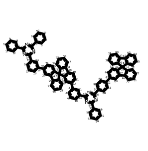 c1ccc(-c2nc(-c3ccccc3)nc(-c3cccc(-c4ccc5c(c4)-c4ccccc4C54c5ccccc5-c5ccc(-c6cccc(-c7nc(-c8ccccc8)nc(-c8ccc(-c9ccc%10c(c9)-c9ccccc9C%109c%10ccccc%10-c%10ccccc%109)cc8)n7)c6)cc54)c3)n2)cc1